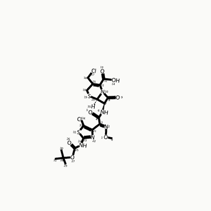 CON=C(C(=O)N[C@@H]1C(=O)N2C(C(=O)O)=C(CCl)CS[C@H]12)c1nc(NC(=O)OC(C)(C)C)sc1Cl